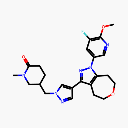 COc1ncc(-n2nc(-c3cnn(CC4CCC(=O)N(C)C4)c3)c3c2CCOCC3)cc1F